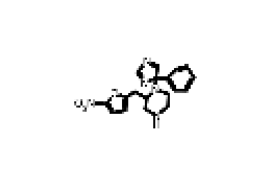 O=[N+]([O-])c1ccc(CC2CNCCN2C2(c3ccccc3)C=NC=N2)o1